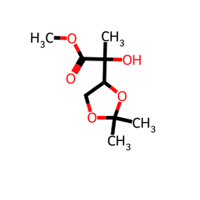 COC(=O)C(C)(O)C1COC(C)(C)O1